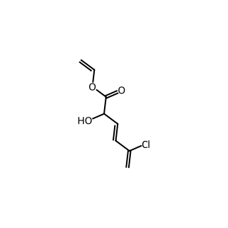 C=COC(=O)C(O)C=CC(=C)Cl